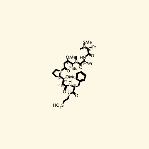 CC[C@H](C)[C@@H]([C@@H](CC(=O)N1CCC[C@H]1[C@H](OC)[C@@H](C)C(=O)N[C@@H](Cc1ccccc1)C(=O)NCCS(=O)(=O)O)OC)N(C)C(=O)[C@@H](NC(=O)[C@H](C(C)C)N(C)SC)C(C)C